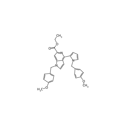 CCOC(=O)c1cc2c(ccn2Cc2ccc(OC)cc2)c(-c2cccn2Cc2ccc(OC)cc2)n1